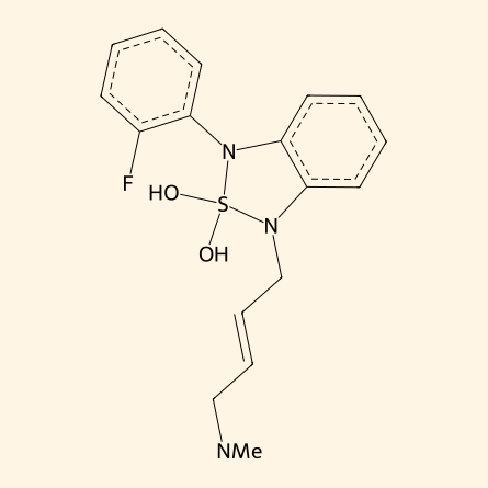 CNC/C=C/CN1c2ccccc2N(c2ccccc2F)S1(O)O